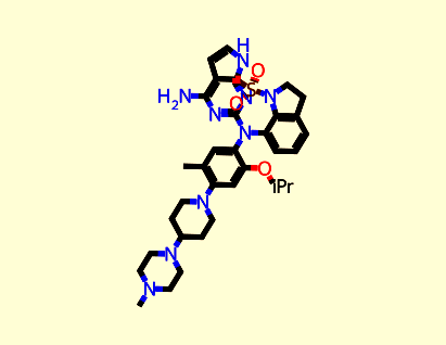 Cc1cc(N(c2nc(N)c3cc[nH]c3n2)c2cccc3c2N(S(C)(=O)=O)CC3)c(OC(C)C)cc1N1CCC(N2CCN(C)CC2)CC1